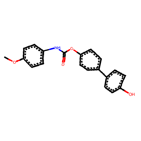 COc1ccc(NC(=O)Oc2ccc(-c3ccc(O)cc3)cc2)cc1